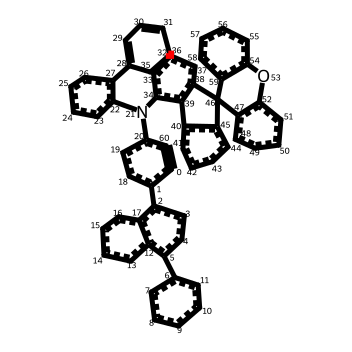 c1c(-c2ccc(-c3ccccc3)c3ccccc23)ccc(N(c2ccccc2C2=CC=CCC2)c2cccc3c2-c2ccccc2C32c3ccccc3Oc3ccccc32)c#1